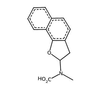 CN(C(=O)O)C1Cc2ccc3ccccc3c2O1